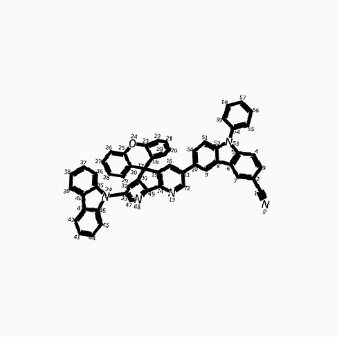 N#Cc1ccc2c(c1)c1cc(-c3cnc4c(c3)C3(c5ccccc5Oc5ccccc53)c3cc(-n5c6ccccc6c6ccccc65)cnc3-4)ccc1n2-c1ccccc1